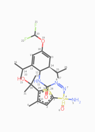 Cc1cc([SH](N)(=O)/N=N\C(=O)NC2C(C(C)C)=CC(OC(F)F)=C[C@H]2C(C)C)sc1C(C)(C)O